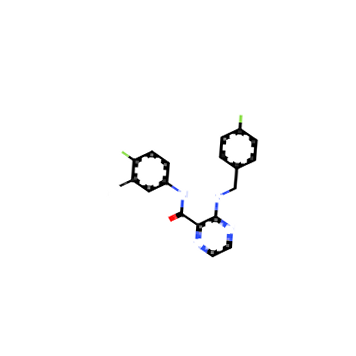 O=C(Nc1ccc(F)c(C(F)(F)F)c1)c1nccnc1NCc1ccc(F)cc1